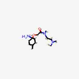 CC1CCC(N)(OCC(=O)N(C)CCN(C)C)CC1